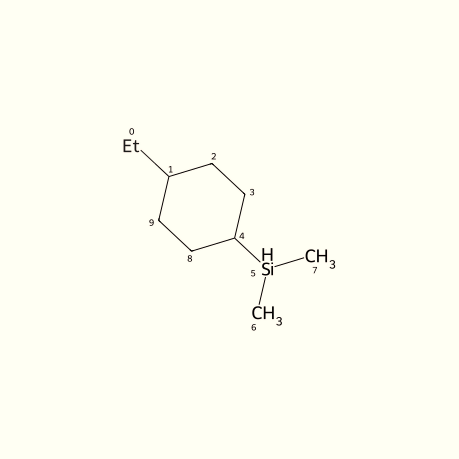 CCC1CCC([SiH](C)C)CC1